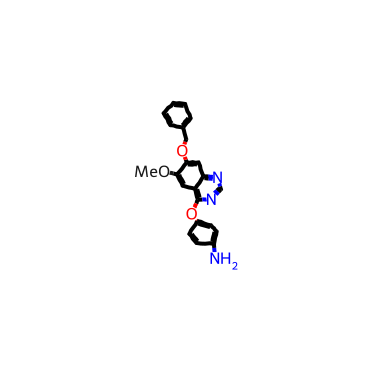 COc1cc2c(Oc3ccc(N)cc3)ncnc2cc1OCc1ccccc1